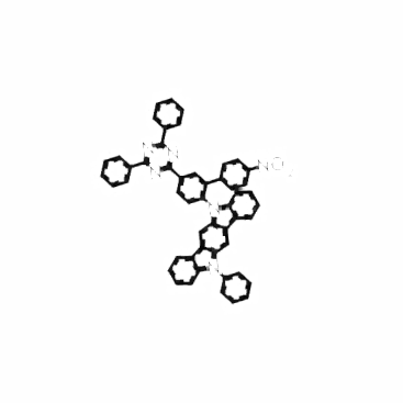 O=[N+]([O-])c1ccc(-c2cc(-c3nc(-c4ccccc4)nc(-c4ccccc4)n3)ccc2-n2c3ccccc3c3cc4c(cc32)c2ccccc2n4-c2ccccc2)cc1